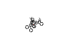 CCn1cc(C[C@H](NC(=O)OC(C)(C)C)C(=O)NOC(c2ccccc2)(c2ccccc2)c2ccccc2)c2ccccc21